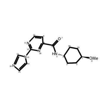 CO[C@H]1CC[C@H](NC(=O)c2ccnc(-n3ccnc3)n2)CC1